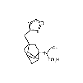 CC(C)(C)N(C(=O)O)C12CC3CC1CC(Cc1ncon1)(C3)C2